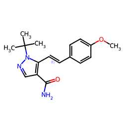 COc1ccc(/C=C/c2c(C(N)=O)cnn2C(C)(C)C)cc1